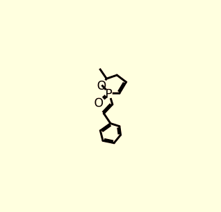 CC1CC=CP(=O)(/C=C/c2ccccc2)O1